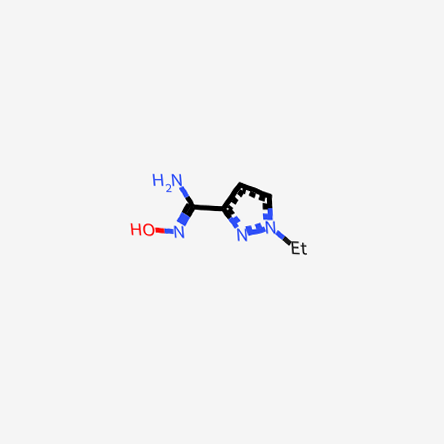 CCn1ccc(/C(N)=N/O)n1